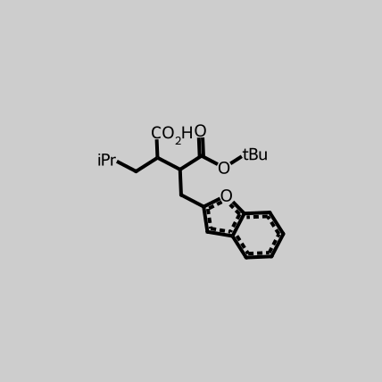 CC(C)CC(C(=O)O)C(Cc1cc2ccccc2o1)C(=O)OC(C)(C)C